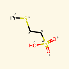 CC(C)SCCS(=O)(=O)O